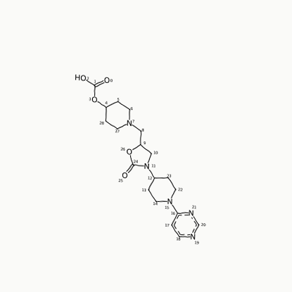 O=C(O)OC1CCN(CC2CN(C3CCN(c4ccncn4)CC3)C(=O)O2)CC1